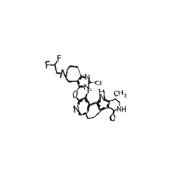 C[C@@H]1CNC(=O)c2c1[nH]c1c2CCc2cnc(Oc3nc(Cl)nc4c3CN(CC(F)F)CC4)c(F)c2-1